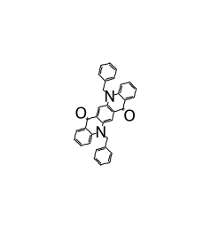 O=c1c2ccccc2n(Cc2ccccc2)c2cc3c(=O)c4ccccc4n(Cc4ccccc4)c3cc12